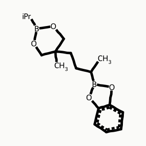 CC(C)B1OCC(C)(CCC(C)B2Oc3ccccc3O2)CO1